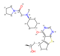 C[C@H](O)C[C@H]1CCc2sc3ncnc(O[C@H]4CC[C@H](N(C)CC(=O)N5CCCC5)CC4)c3c21